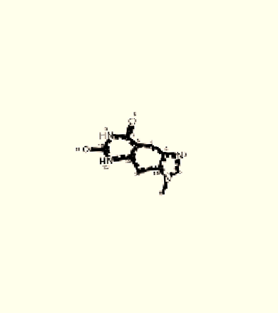 Cn1cnc2cc3c(=O)[nH]c(=O)[nH]c3cc21